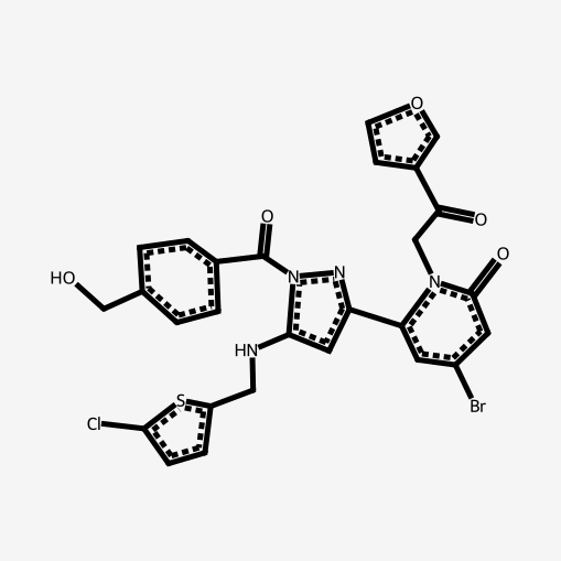 O=C(Cn1c(-c2cc(NCc3ccc(Cl)s3)n(C(=O)c3ccc(CO)cc3)n2)cc(Br)cc1=O)c1ccoc1